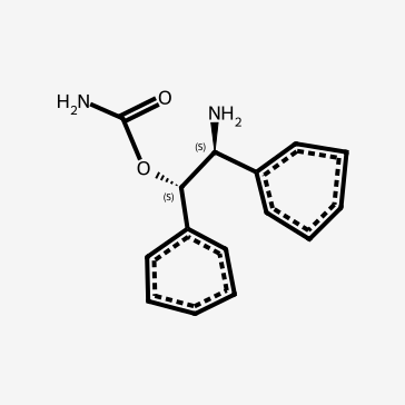 NC(=O)O[C@@H](c1ccccc1)[C@@H](N)c1ccccc1